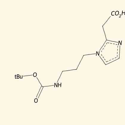 CC(C)(C)OC(=O)NCCCn1ccnc1CC(=O)O